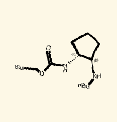 [CH2]CCCN[C@@H]1CCC[C@H]1NC(=O)OC(C)(C)C